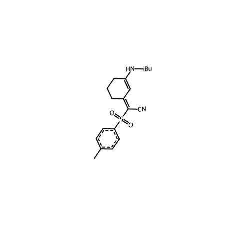 CCC(C)NC1=C/C(=C(\C#N)S(=O)(=O)c2ccc(C)cc2)CCC1